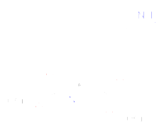 CN(C(=O)OC(C)(C)C)[C@H](Cc1ccc(N)cc1)C(=O)OC(C)(C)C